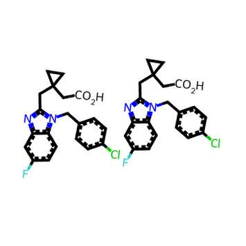 O=C(O)CC1(Cc2nc3cc(F)ccc3n2Cc2ccc(Cl)cc2)CC1.O=C(O)CC1(Cc2nc3cc(F)ccc3n2Cc2ccc(Cl)cc2)CC1